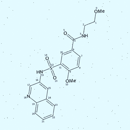 COCCNC(=O)c1ccc(OC)c(S(=O)(=O)Nc2cnc3ccccc3c2)c1